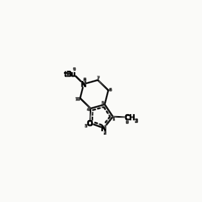 Cc1noc2c1CCN(C(C)(C)C)C2